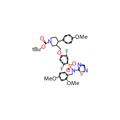 COc1ccc(C2CCN(C(=O)OC(C)(C)C)CC2COc2cc(F)c(S(=O)(=O)N(Cc3ccc(OC)cc3OC)c3ncns3)cc2F)cc1